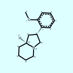 COc1ccccc1[C@H]1C[C@@H]2CCCCN2C1